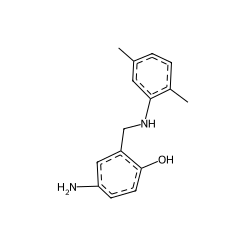 Cc1ccc(C)c(NCc2cc(N)ccc2O)c1